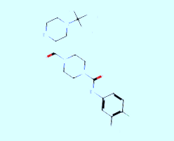 Cc1cc(NC(=O)N2CCN(C(=O)[C@H]3CN(C(C)(C)C)CCN3)CC2)ccc1Cl